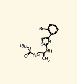 C=C(CNC(=O)OC(C)(C)C)Nc1nc(-c2ccccc2Br)cs1